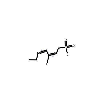 CC/N=C\C(F)=C/CS(=O)(=O)Cl